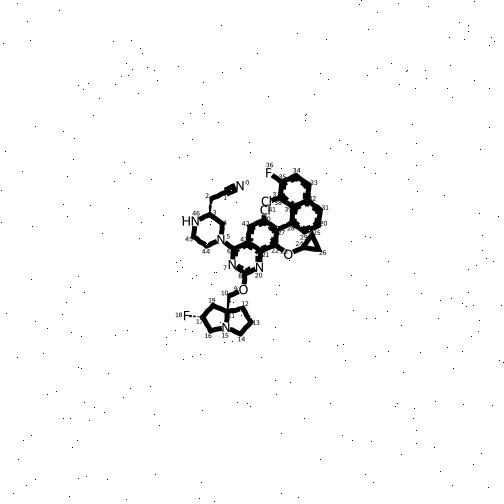 N#CC[C@H]1CN(c2nc(OC[C@@]34CCCN3C[C@H](F)C4)nc3c(OC4CC4)c(-c4cccc5ccc(F)c(Cl)c45)c(Cl)cc23)CCN1